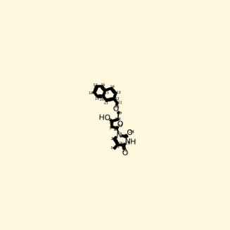 Cc1cn([C@H]2CC(O)[C@@H](COCc3ccc4ccccc4c3)O2)c(=O)[nH]c1=O